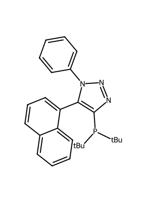 CC(C)(C)P(c1nnn(-c2ccccc2)c1-c1cccc2ccccc12)C(C)(C)C